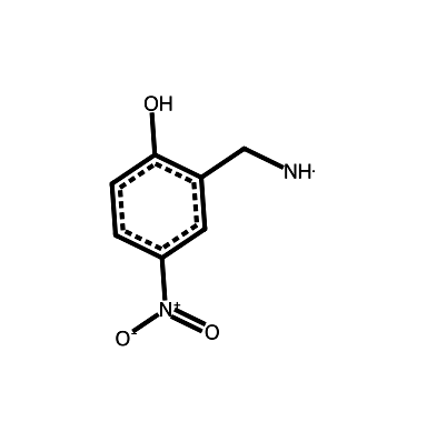 [NH]Cc1cc([N+](=O)[O-])ccc1O